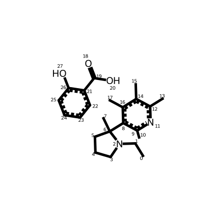 CCN1CCCC1(C)c1c(C)nc(C)c(C)c1C.O=C(O)c1ccccc1O